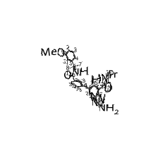 COc1cccc(C(C)(C)NC(=O)c2cc(-c3cc(C(=O)NC(C)C)c4nc(N)nn4c3)cs2)c1